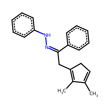 CC1=CCC(CC(=NNc2ccccc2)c2ccccc2)=C1C